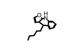 CCCCCC1c2ccccc2NC2OC=CC21